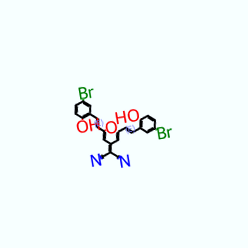 N#CC(C#N)=C1C=C(/C=C/c2cc(Br)ccc2O)OC(/C=C/c2cc(Br)ccc2O)=C1